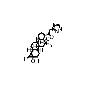 C[C@]12CC[C@@H]3[C@H]4CC[C@]5(O)C(F)C5[C@@H]4CC[C@H]3[C@@H]1CC[C@@H]2C(=O)Cn1ncnn1